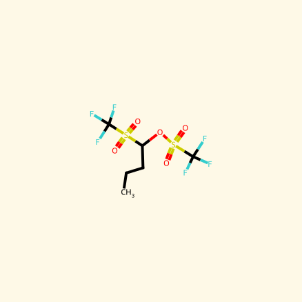 CCCC(OS(=O)(=O)C(F)(F)F)S(=O)(=O)C(F)(F)F